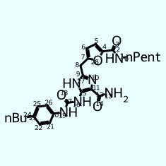 CCCCCNC(=O)c1ccc(Cc2nc(C(N)=O)c(NC(=O)Nc3ccc(CCCC)cc3)[nH]2)o1